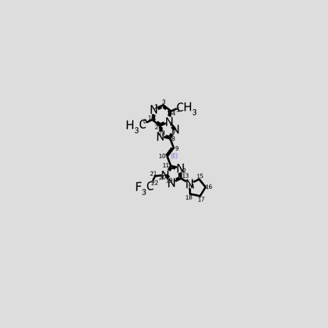 Cc1ncc(C)n2nc(/C=C/c3nc(N4CCCC4)nn3CC(F)(F)F)nc12